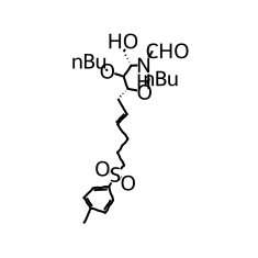 CCCCOC([C@H](CO)NC=O)[C@@H](C/C=C/CCCS(=O)(=O)c1ccc(C)cc1)OCCCC